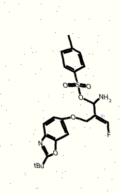 Cc1ccc(S(=O)(=O)OC(N)/C(=C/F)COc2ccc3nc(C(C)(C)C)oc3c2)cc1